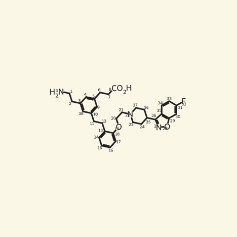 NCCc1cc(CCC(=O)O)cc(CCc2ccccc2OCCN2CCC(c3noc4cc(F)ccc34)CC2)c1